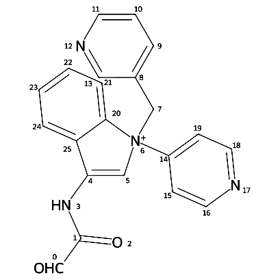 O=CC(=O)NC1=C[N+](Cc2cccnc2)(c2ccncc2)c2ccccc21